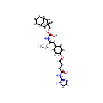 CCC1(COC(=O)N[C@@H](Cc2ccc(OCCCC(=O)NC3=NCCN3)cc2)C(=O)O)CC2CCCC(C2)C1